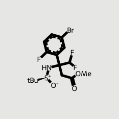 COC(=O)CC(N[S@@+]([O-])C(C)(C)C)(c1cc(Br)ccc1F)C(F)F